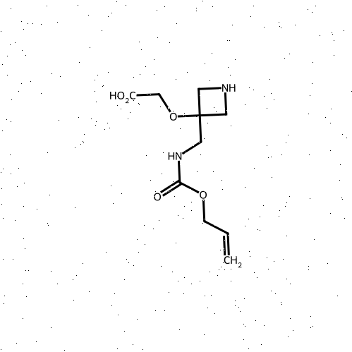 C=CCOC(=O)NCC1(OCC(=O)O)CNC1